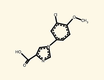 COc1ccc(-n2cnc(C(=O)O)c2)cc1Cl